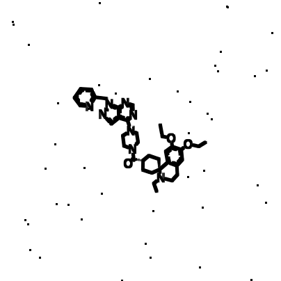 CCOc1cc2c(cc1OCC)[C@]1(CC[C@@H](C(=O)N3CCN(c4ncnc5c4cnn5Cc4ccccn4)CC3)CC1)N(CC)CC2